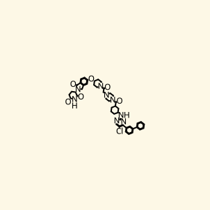 O=C1CCC(N2Cc3cc(OC4CCN(C(=O)CN5CCN(C(=O)C6CCCC(Nc7ncc(Cl)c(-c8cccc(-c9ccccc9)c8)n7)C6)CC5)CC4)ccc3C2=O)C(=O)N1